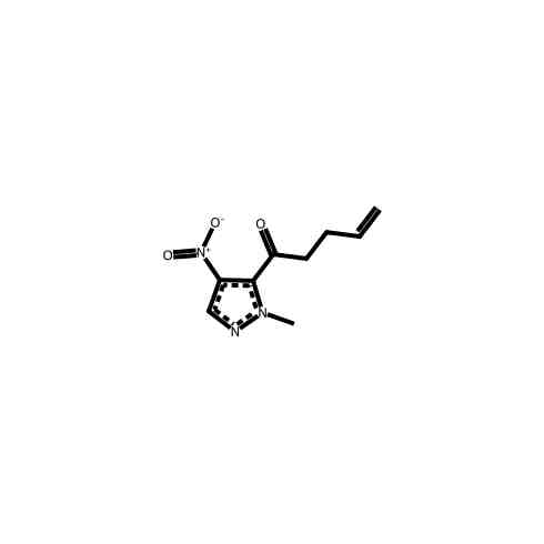 C=CCCC(=O)c1c([N+](=O)[O-])cnn1C